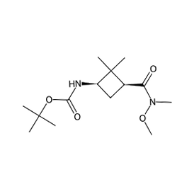 CON(C)C(=O)[C@H]1C[C@@H](NC(=O)OC(C)(C)C)C1(C)C